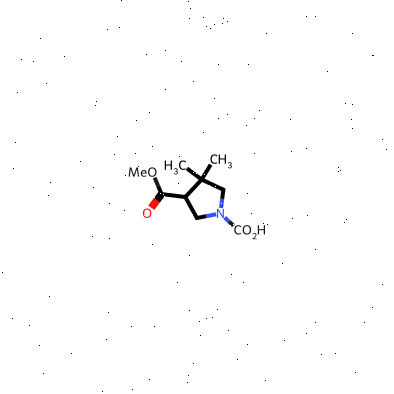 COC(=O)C1CN(C(=O)O)CC1(C)C